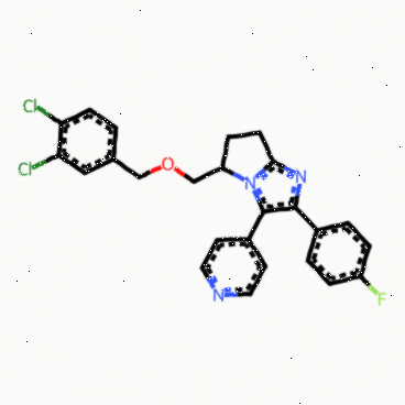 Fc1ccc(-c2nc3n(c2-c2ccncc2)C(COCc2ccc(Cl)c(Cl)c2)CC3)cc1